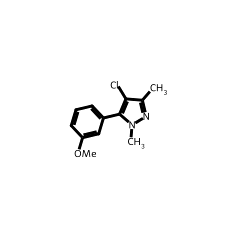 COc1cccc(-c2c(Cl)c(C)nn2C)c1